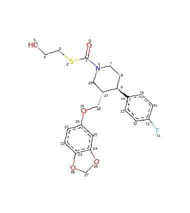 O=C(SCCO)N1CC[C@@H](c2ccc(F)cc2)[C@H](COc2ccc3c(c2)OCO3)C1